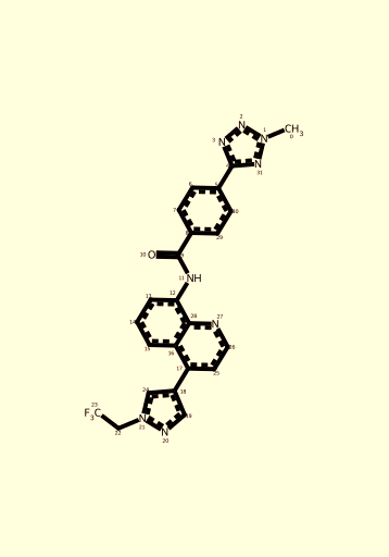 Cn1nnc(-c2ccc(C(=O)Nc3cccc4c(-c5cnn(CC(F)(F)F)c5)ccnc34)cc2)n1